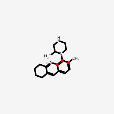 CCC(O/N=C1/CCCC/C1=C/c1ccccc1)N1CCNCC1C